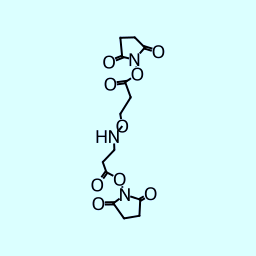 O=C(CCNOCCC(=O)ON1C(=O)CCC1=O)ON1C(=O)CCC1=O